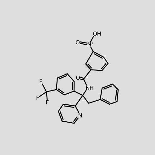 O=C(NC(Cc1ccccc1)(c1cccc(C(F)(F)F)c1)c1ccccn1)c1cccc([N+](=O)O)c1